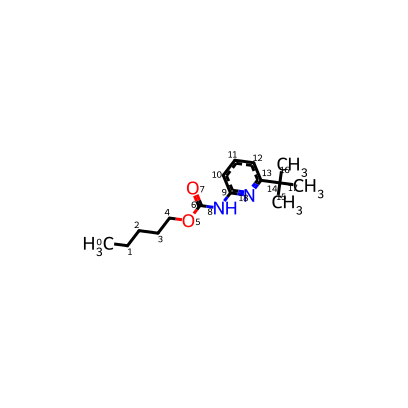 CCCCCOC(=O)Nc1cccc(C(C)(C)C)n1